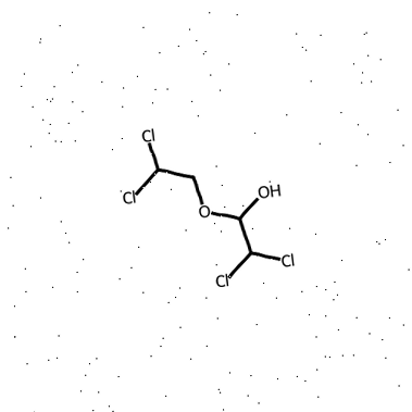 OC(OCC(Cl)Cl)C(Cl)Cl